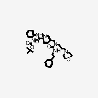 CC(C)(C)OC(=O)Nc1ccccc1NC(=O)c1ccc(CN(CCCN2CCOCC2)C(=O)NCCc2ccccc2)cn1